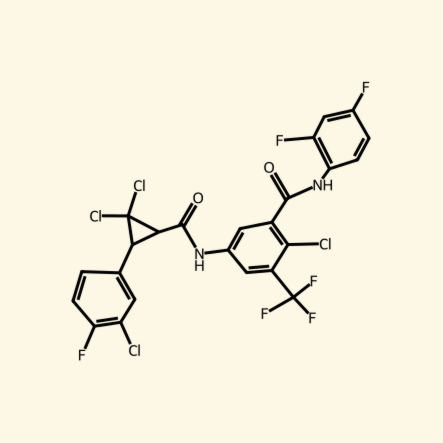 O=C(Nc1ccc(F)cc1F)c1cc(NC(=O)C2C(c3ccc(F)c(Cl)c3)C2(Cl)Cl)cc(C(F)(F)F)c1Cl